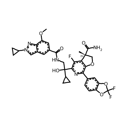 COc1cc(C(=O)NCC(O)(c2nc(-c3ccc4c(c3)OC(F)(F)O4)c3c(c2F)[C@](C)(C(N)=O)CO3)C2CC2)cc2cn(C3CC3)nc12